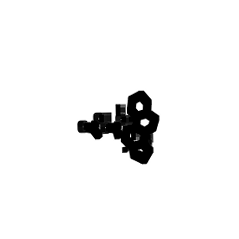 CC(=O)O.CC(=O)O.C[C@@]12C=CC[C@H]1[C@@H]1CCC3CCCC[C@@H]3[C@H]1CC2